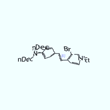 CCCCCCCCCCN(CCCCCCCCCC)c1ccc(/C=C/c2cc[n+](CC)cc2Br)cc1